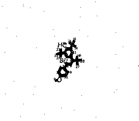 COc1ccc(C(Br)=CC(c2cc(C(C)(C)C)c(O)c(C(C)(C)C)c2)C(C)(C)C)cc1